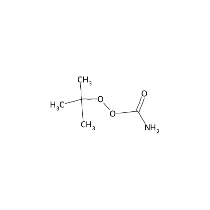 CC(C)(C)OOC(N)=O